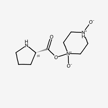 O=C(O[N+]1([O-])CC[NH+]([O-])CC1)[C@@H]1CCCN1